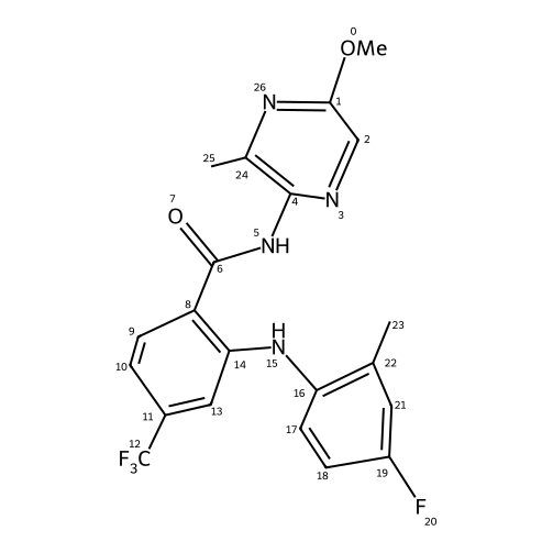 COc1cnc(NC(=O)c2ccc(C(F)(F)F)cc2Nc2ccc(F)cc2C)c(C)n1